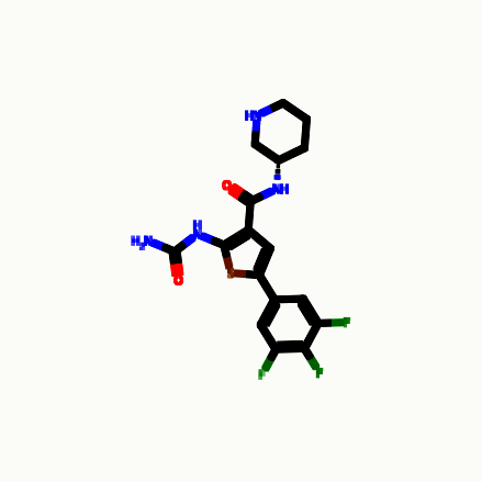 NC(=O)Nc1sc(-c2cc(F)c(F)c(F)c2)cc1C(=O)N[C@H]1CCCNC1